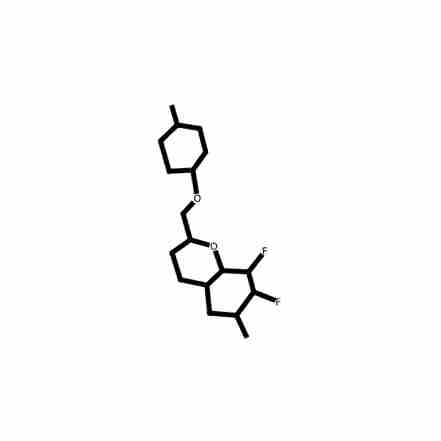 CC1CCC(OCC2CCC3CC(C)C(F)C(F)C3O2)CC1